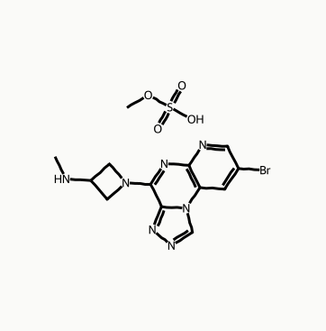 CNC1CN(c2nc3ncc(Br)cc3n3cnnc23)C1.COS(=O)(=O)O